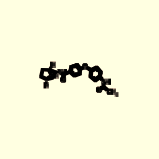 CC(=O)Nc1ccc(Oc2ccc(C(=O)N[C@@H]3C[C@H]4CC[C@@H]3N4)cc2)cc1